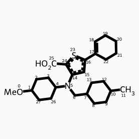 COC1CCC(N(CC2CCC(C)CC2)c2cc(C3=CCCCC3)sc2C(=O)O)CC1